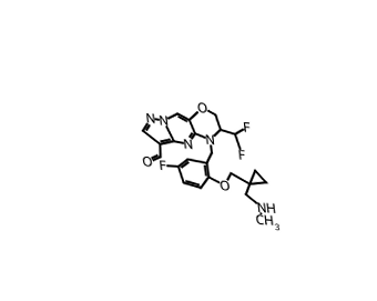 CNCC1(COc2ccc(F)cc2CN2c3nc4c(C=O)cnn4cc3OCC2C(F)F)CC1